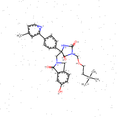 Cc1ccnc(-c2ccc(C3(CN4Cc5ccc(O)cc5C4=O)NC(=O)N(COCC[Si](C)(C)C)C3=O)cc2)c1